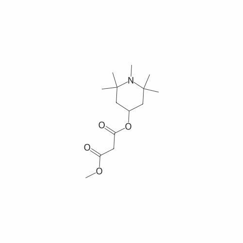 COC(=O)CC(=O)OC1CC(C)(C)N(C)C(C)(C)C1